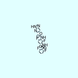 O=C(Nc1c(F)ccc(NS(=O)(=O)c2c(F)cccc2F)c1F)Oc1cnc2[nH]cnc2c1